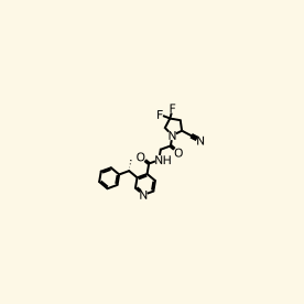 C[C@@H](c1ccccc1)c1cnccc1C(=O)NCC(=O)N1CC(F)(F)CC1C#N